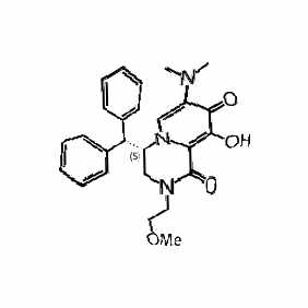 COCCN1C[C@H](C(c2ccccc2)c2ccccc2)n2cc(N(C)C)c(=O)c(O)c2C1=O